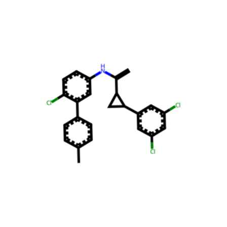 C=C(Nc1ccc(Cl)c(-c2ccc(C)cc2)c1)C1CC1c1cc(Cl)cc(Cl)c1